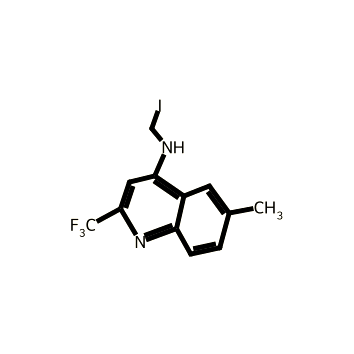 Cc1ccc2nc(C(F)(F)F)cc(NCI)c2c1